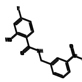 O=C(NCc1cccc([N+](=O)[O-])c1)c1ccc(F)cc1O